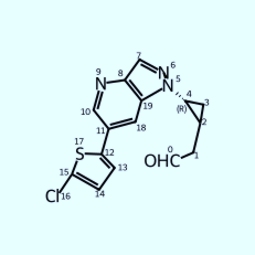 O=CCC1C[C@H]1n1ncc2ncc(-c3ccc(Cl)s3)cc21